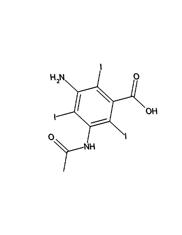 CC(=O)Nc1c(I)c(N)c(I)c(C(=O)O)c1I